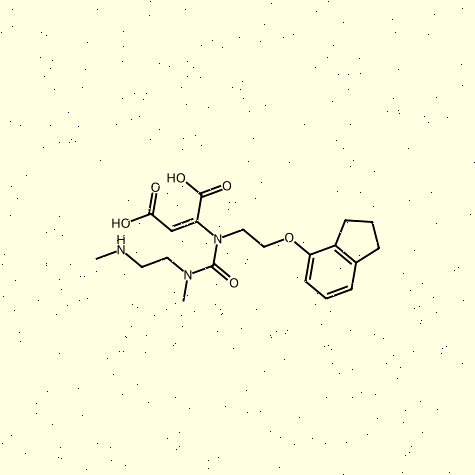 CNCCN(C)C(=O)N(CCOc1cccc2c1CCC2)/C(=C/C(=O)O)C(=O)O